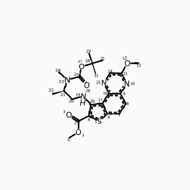 COC(=O)c1sc2ccc3nc(OC)cnc3c2c1NC[C@@H](C)N(C)C(=O)OC(C)(C)C